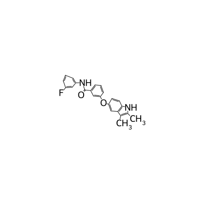 Cc1[nH]c2ccc(Oc3cccc(C(=O)Nc4cccc(F)c4)c3)cc2c1C